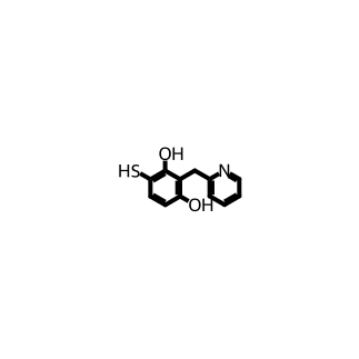 Oc1ccc(S)c(O)c1Cc1ccccn1